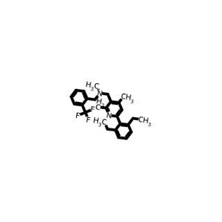 CCc1cccc(CC)c1-c1cc(C)c(CN(C)Cc2ccccc2C(F)(F)F)c(C)n1